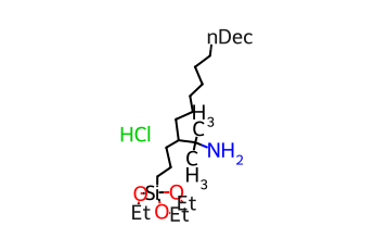 CCCCCCCCCCCCCCCCC(CCC[Si](OCC)(OCC)OCC)C(C)(C)N.Cl